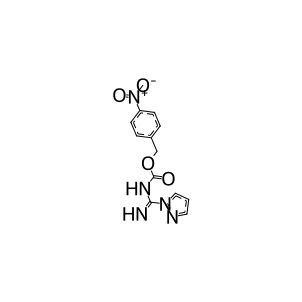 N=C(NC(=O)OCc1ccc([N+](=O)[O-])cc1)n1cccn1